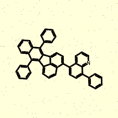 c1ccc(-c2c3c(c(-c4ccccc4)c4ccccc24)-c2ccc(-c4ccc(-c5ccccc5)c5ncccc45)c4cccc-3c24)cc1